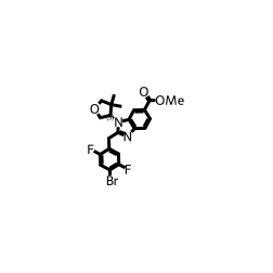 COC(=O)c1ccc2nc(Cc3cc(F)c(Br)cc3F)n([C@@H]3COCC3(C)C)c2c1